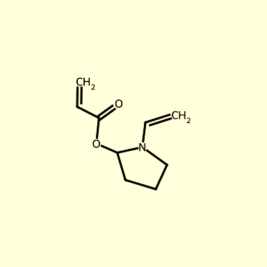 C=CC(=O)OC1CCCN1C=C